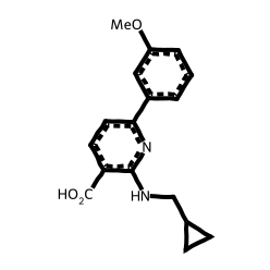 COc1cccc(-c2ccc(C(=O)O)c(NCC3CC3)n2)c1